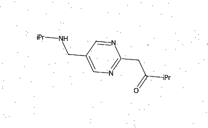 CC(C)NCc1cnc(CC(=O)C(C)C)nc1